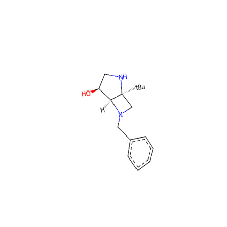 CC(C)(C)[C@]12CN(Cc3ccccc3)[C@H]1[C@@H](O)CN2